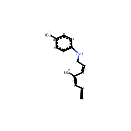 C=C/C=C(\C=C/CNc1ccc(C(C)(C)C)cc1)C(C)(C)C